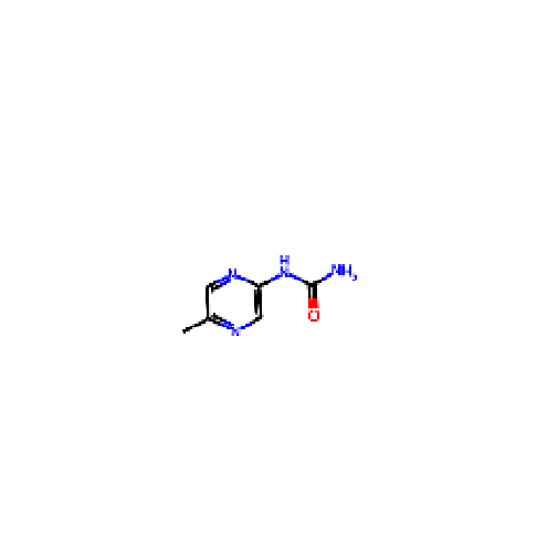 Cc1cnc(NC(N)=O)cn1